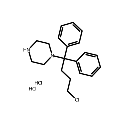 Cl.Cl.ClCCCC(c1ccccc1)(c1ccccc1)N1CCNCC1